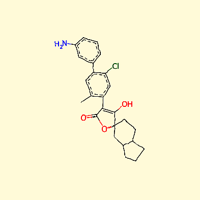 Cc1cc(-c2cccc(N)c2)c(Cl)cc1C1=C(O)C2(CCC3CCCC3C2)OC1=O